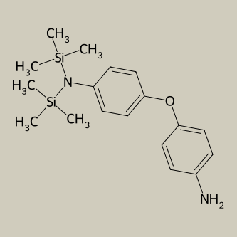 C[Si](C)(C)N(c1ccc(Oc2ccc(N)cc2)cc1)[Si](C)(C)C